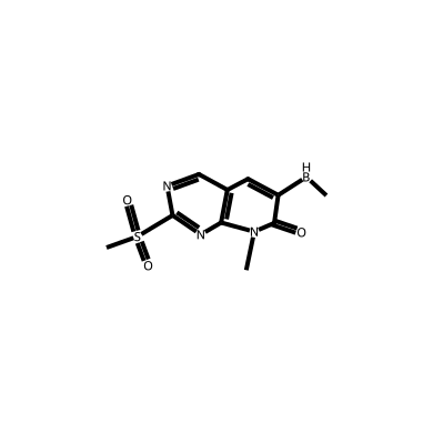 CBc1cc2cnc(S(C)(=O)=O)nc2n(C)c1=O